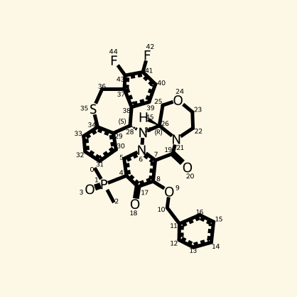 CP(C)(=O)c1cn2c(c(OCc3ccccc3)c1=O)C(=O)N1CCOC[C@H]1N2[C@@H]1c2ccccc2SCc2c1ccc(F)c2F